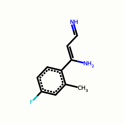 Cc1cc(F)ccc1/C(N)=C/C=N